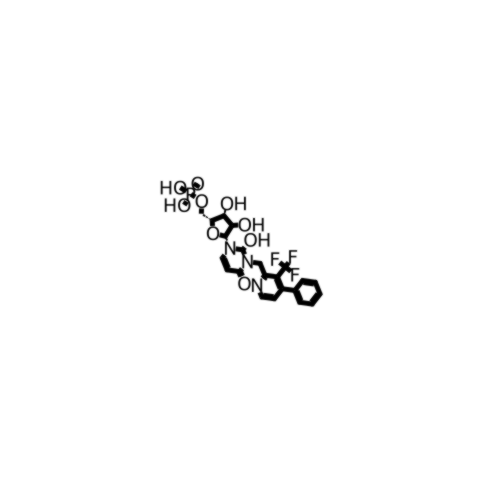 O=C1C=CN([C@@H]2O[C@H](COP(=O)(O)O)[C@H](O)C2O)C(O)N1Cc1nccc(-c2ccccc2)c1C(F)(F)F